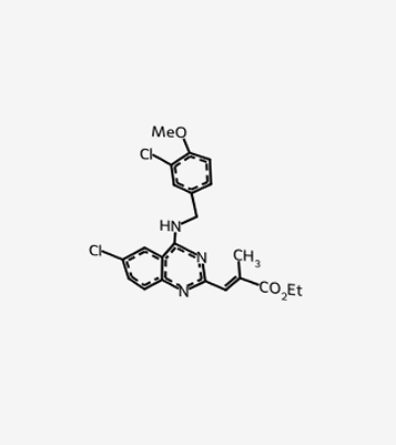 CCOC(=O)/C(C)=C/c1nc(NCc2ccc(OC)c(Cl)c2)c2cc(Cl)ccc2n1